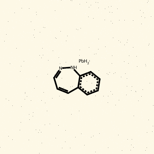 C1=Cc2ccccc2NN=C1.[PbH2]